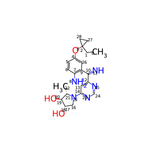 CCC1(Oc2ccc(N)c(C(=N)c3cc(N4C[C@H](O)[C@@H](O)[C@@H]4C)ncn3)c2)CC1